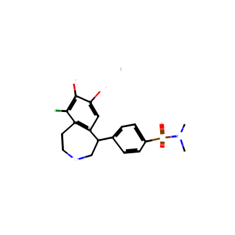 Br.CN(C)S(=O)(=O)c1ccc(C2CNCCc3c2cc(O)c(O)c3Cl)cc1.O